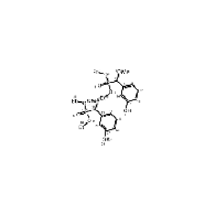 CCOP(=O)(OCC)C(OC)c1cccc(O)c1.CCOP(=O)(OCC)C(OC)c1cccc(OC(C)=O)c1